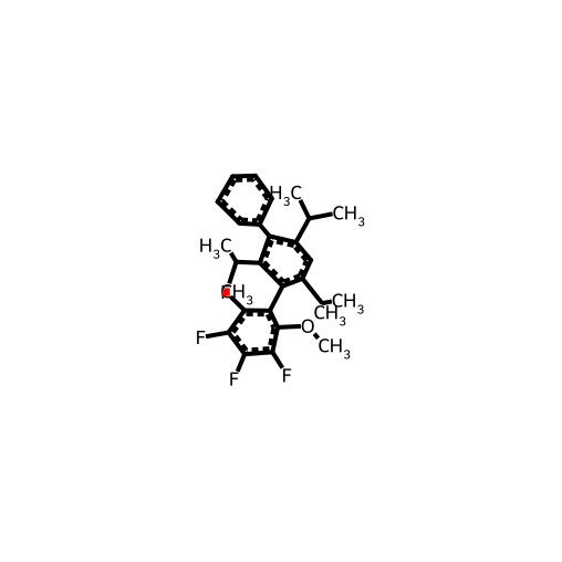 COc1c(F)c(F)c(F)c(F)c1-c1c(C(C)C)cc(C(C)C)c(-c2ccccc2)c1C(C)C